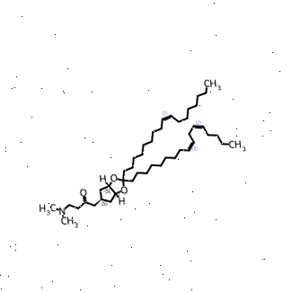 CCCC/C=C\C/C=C\CCCCCCCCC1(CCCCCCCC/C=C\CCCCCCC)O[C@H]2C[C@H](CC(=O)CCN(C)C)C[C@H]2O1